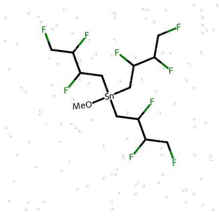 C[O][Sn]([CH2]C(F)C(F)CF)([CH2]C(F)C(F)CF)[CH2]C(F)C(F)CF